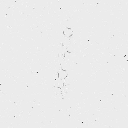 N[C@@H](Cc1ccccc1)C(=O)NCCc1ccc(NC(=O)C(F)(F)F)cc1